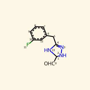 O=CC1NN=C(Cc2cccc(F)c2)N1